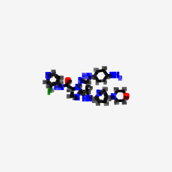 NC1CCC(Nc2cc(Nc3ccc(N4CCOCC4)cn3)c3ncc(C(=O)Nc4ccncc4F)n3n2)CC1